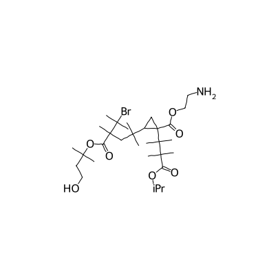 CC(C)OC(=O)C(C)(C)C(C)(C)C1(C(=O)OCCN)CC1C(C)(C)CC(C)(C(=O)OC(C)(C)CCO)C(C)(C)Br